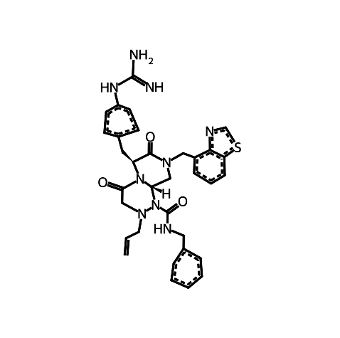 C=CCN1CC(=O)N2[C@@H](Cc3ccc(NC(=N)N)cc3)C(=O)N(Cc3cccc4scnc34)C[C@@H]2N1C(=O)NCc1ccccc1